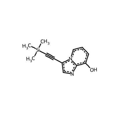 C[Si](C)(C)C#Cc1cnc2c(O)cccn12